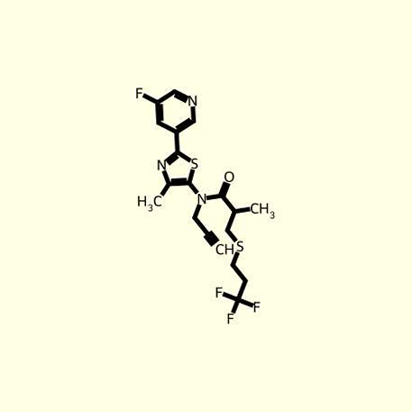 C#CCN(C(=O)C(C)CSCCC(F)(F)F)c1sc(-c2cncc(F)c2)nc1C